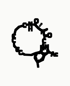 CC(=O)c1nn2c3c(cc(C)cc13)CCCCCCCCCCNC(=O)[C@H](C)N(C)C(=O)C2